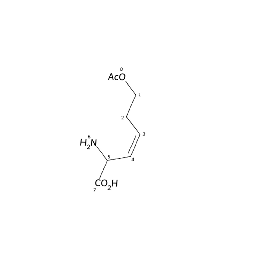 CC(=O)OCC/C=C\C(N)C(=O)O